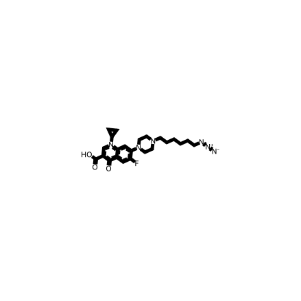 [N-]=[N+]=NCCCCCCN1CCN(c2cc3c(cc2F)c(=O)c(C(=O)O)cn3C2CC2)CC1